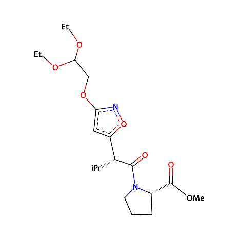 CCOC(COc1cc([C@H](C(=O)N2CCC[C@H]2C(=O)OC)C(C)C)on1)OCC